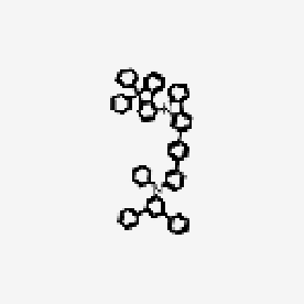 c1ccc(-c2cc(-c3ccccc3)cc(N(c3ccccc3)c3cccc(-c4ccc(-c5ccc6c7ccccc7n(-c7cccc8c7-c7ccccc7C8(c7ccccc7)c7ccccc7)c6c5)cc4)c3)c2)cc1